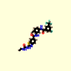 CCNC(=O)Nc1nc2ccc(C(=O)Nc3cc(NC(=O)c4cc(F)cc(C(F)(F)F)c4)ccc3C)cc2s1